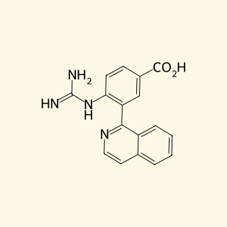 N=C(N)Nc1ccc(C(=O)O)cc1-c1nccc2ccccc12